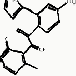 C=C(C(=O)c1c(C)cccc1Cl)c1ccc(C(=O)O)cc1-c1cccs1